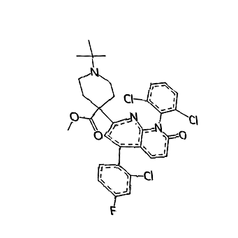 COC(=O)C1(c2cc(-c3ccc(F)cc3Cl)c3ccc(=O)n(-c4c(Cl)cccc4Cl)c3n2)CCN(C(C)(C)C)CC1